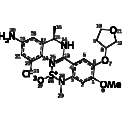 COc1cc2c(cc1OC1CCOC1)C(N[C@H](C)c1cc(N)cc(C(F)(F)F)c1)=N[S+]([O-])N2C